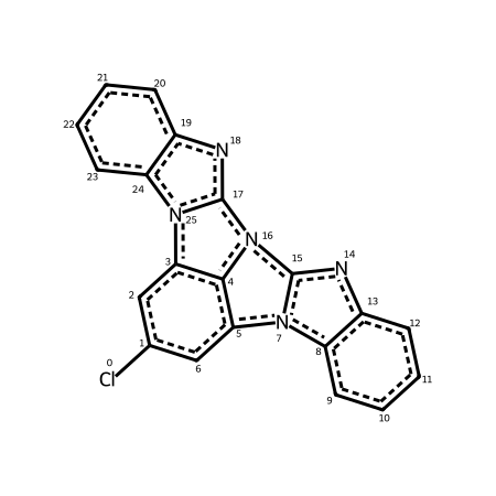 Clc1cc2c3c(c1)n1c4ccccc4nc1n3c1nc3ccccc3n21